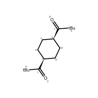 CC(C)(C)C(=O)[C@H]1CC[C@@H](C(=O)C(C)(C)C)CC1